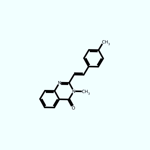 Cc1ccc(/C=C/c2nc3ccccc3c(=O)n2C)cc1